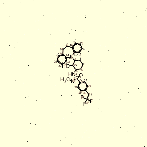 CN=S(=O)(NC1CCCC(N2c3ccccc3CCc3ccccc32)C1O)c1ccc(CC(F)(F)F)cc1